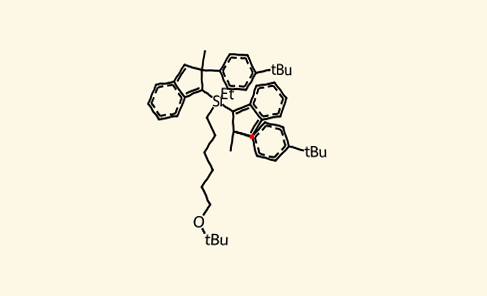 CC[Si](CCCCCCOC(C)(C)C)(C1=c2ccccc2=CC1(C)c1ccc(C(C)(C)C)cc1)C1=c2ccccc2=CC1(C)c1ccc(C(C)(C)C)cc1